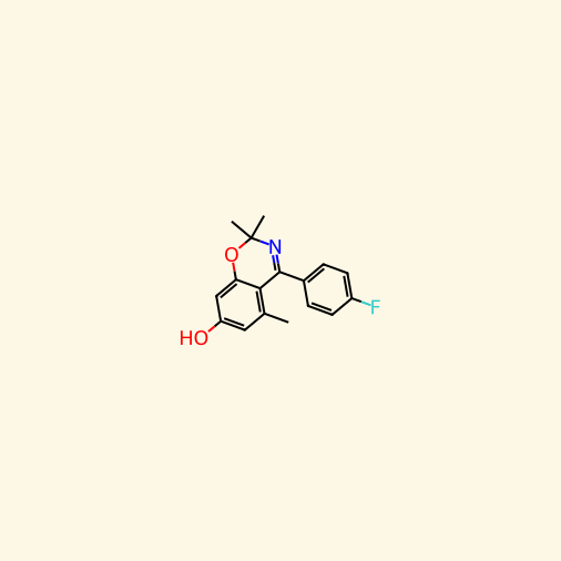 Cc1cc(O)cc2c1C(c1ccc(F)cc1)=NC(C)(C)O2